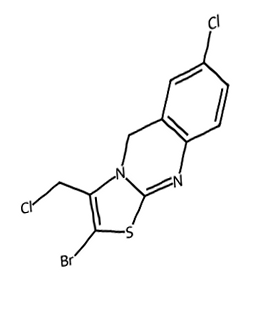 ClCC1=C(Br)SC2=Nc3ccc(Cl)cc3CN21